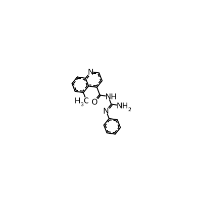 Cc1cccc2nccc(C(=O)NC(N)=Nc3ccccc3)c12